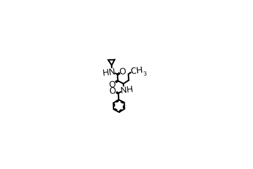 CCCC(NC(=O)c1ccccc1)C(=O)C(=O)NC1CC1